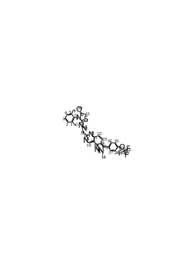 Cc1cccc(C)c1N1C(=O)CSC1=NN=Cc1ncc2c(ccc3c(-c4ccc(OC(F)(F)F)cc4)n(C)nc32)n1